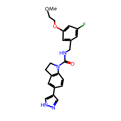 COCCOc1cc(F)cc(CNC(=O)N2CCc3cc(-c4cn[nH]c4)ccc32)c1